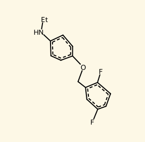 CCNc1ccc(OCc2cc(F)ccc2F)cc1